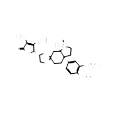 COc1ccc([C@]23CCN(C)[C@H]2CC2(CC3)OC[C@@H](C3OC(=O)C(O)=C3O)O2)cc1OC